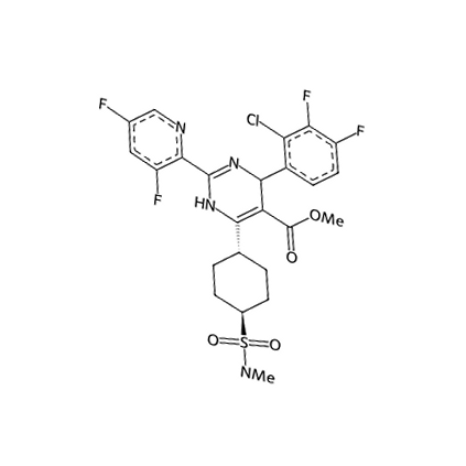 CNS(=O)(=O)[C@H]1CC[C@H](C2=C(C(=O)OC)C(c3ccc(F)c(F)c3Cl)N=C(c3ncc(F)cc3F)N2)CC1